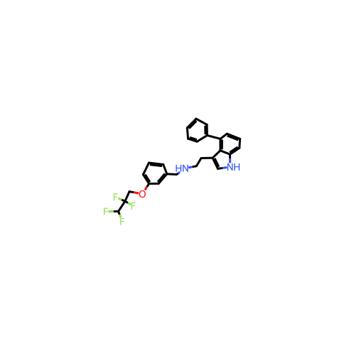 FC(F)C(F)(F)COc1cccc(CNCCc2c[nH]c3cccc(-c4ccccc4)c23)c1